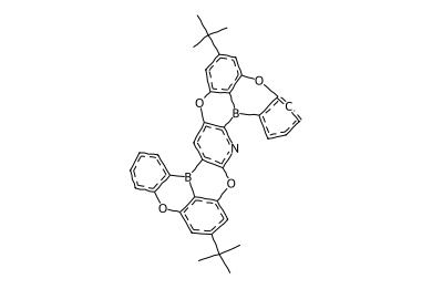 CC(C)(C)c1cc2c3c(c1)Oc1nc4c(cc1B3c1ccccc1O2)Oc1cc(C(C)(C)C)cc2c1B4c1ccccc1O2